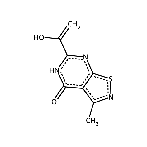 C=C(O)c1nc2snc(C)c2c(=O)[nH]1